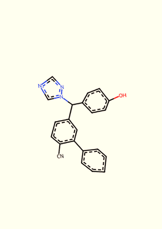 N#Cc1ccc(C(c2ccc(O)cc2)n2cncn2)cc1-c1ccccc1